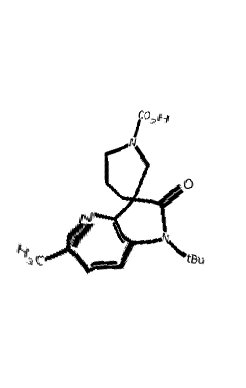 Cc1ccc2c(n1)C1(CCN(C(=O)O)C1)C(=O)N2C(C)(C)C